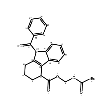 CC(C)(C)C(=O)OCOC(=O)C1CCCc2c1c1ccccc1n2C(=O)c1ccccc1